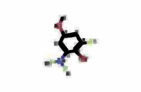 COc1cc(F)c(Br)c(N(F)F)c1